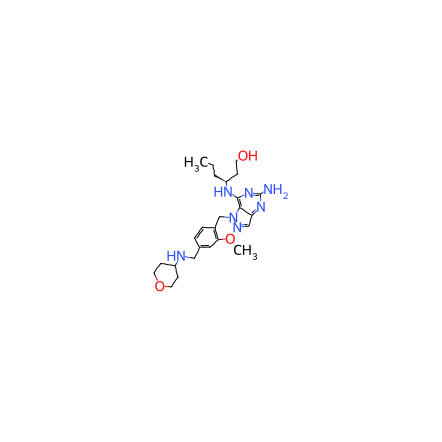 CCC[C@@H](CCO)Nc1nc(N)nc2cnn(Cc3ccc(CNC4CCOCC4)cc3OC)c12